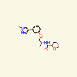 CC(COc1c[c]cc(-c2cnn(C)c2)c1)NC(=O)C1CCCO1